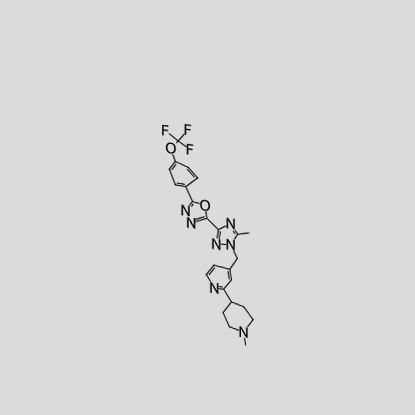 Cc1nc(-c2nnc(-c3ccc(OC(F)(F)F)cc3)o2)nn1Cc1ccnc(C2CCN(C)CC2)c1